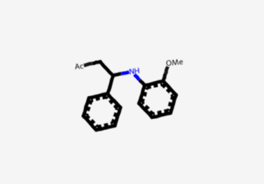 COc1ccccc1NC(CC(C)=O)c1ccccc1